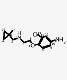 CC1(CNCCOc2ccc(N)cc2Cl)CC1